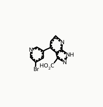 O=C(O)c1n[nH]c2nccc(-c3cncc(Br)c3)c12